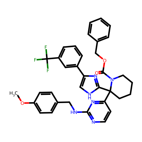 COc1ccc(CNc2nccc(C3(c4nc(-c5cccc(C(F)(F)F)c5)c[nH]4)CCCCN3C(=O)OCc3ccccc3)n2)cc1